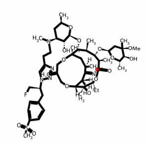 C=C1CO[C@@H]2[C@@H](C)/C(=N/O)[C@H](C)C[C@@](C)(OC1)[C@H](O[C@@H]1O[C@H](C)C[C@H](N(C)CCc3cn([C@H](CF)Cc4ccc(S(C)(=O)=O)cc4)nn3)[C@H]1O)[C@@H](C)[C@H](O[C@H]1C[C@@](C)(OC)[C@@H](O)[C@H](C)O1)[C@@H](C)C(=O)O[C@H](CC)[C@@]2(C)O